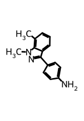 Cc1cccc2c(-c3ccc(N)cc3)nn(C)c12